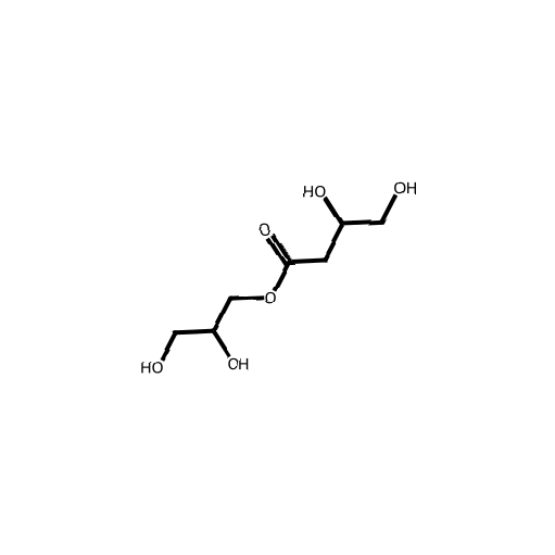 O=C(CC(O)CO)OCC(O)CO